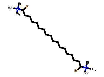 CCC[N+](C)(CC)C(Br)CCCCCCCCCCCCCCCCC(Br)[N+](C)(CC)CCC